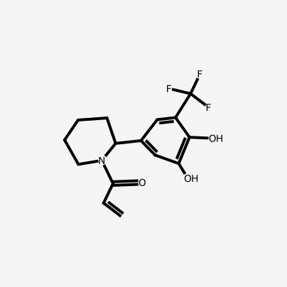 C=CC(=O)N1CCCCC1c1cc(O)c(O)c(C(F)(F)F)c1